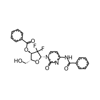 O=C(Nc1ccn([C@@H]2O[C@H](CO)[C@@H](OC(=O)c3ccccc3)C2(F)F)c(=O)n1)c1ccccc1